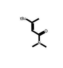 C/C(=C\C(=O)N(C)C)C(C)(C)C